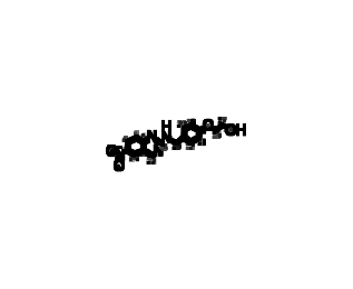 O=[N+]([O-])c1ccc2nc(NCc3ccc(OCCO)cc3)ncc2c1